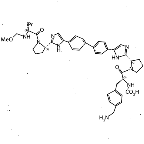 COCN[C@H](C(=O)N1CCC[C@H]1c1ncc(-c2ccc(-c3ccc(-c4cnc([C@@H]5CCCN5C(=O)[C@H](Cc5ccc(CN)cc5)NC(=O)O)[nH]4)cc3)cc2)[nH]1)C(C)C